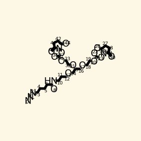 [N-]=[N+]=NCCCCC(=O)NCCCOCC(COCCOC(=O)ON1C(=O)CCC1=O)OCCOC(=O)ON1C(=O)CCC1=O